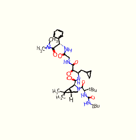 CN(C)C(=O)[C@@H](NC(=O)CNC(=O)C(=O)C(CC1CC1)NC(=O)[C@@H]1C2[C@H](CN1C(=O)C(NC(=O)NC(C)(C)C)C(C)(C)C)C2(C)C)c1ccccc1